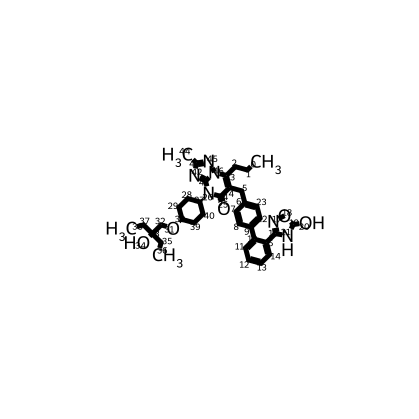 CCCc1c(Cc2ccc(-c3ccccc3C3=NOC(O)N3)cc2)c(=O)n([C@H]2CC[C@H](OCC(O)(CC)CC)CC2)c2nc(C)nn12